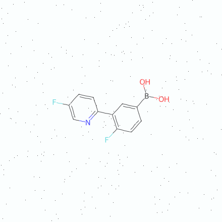 OB(O)c1ccc(F)c(-c2ccc(F)cn2)c1